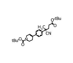 CC(C)(C)OC(=O)CC[C@@](C)(C#N)c1ccc(C2=CCN(C(=O)OC(C)(C)C)CC2)cc1